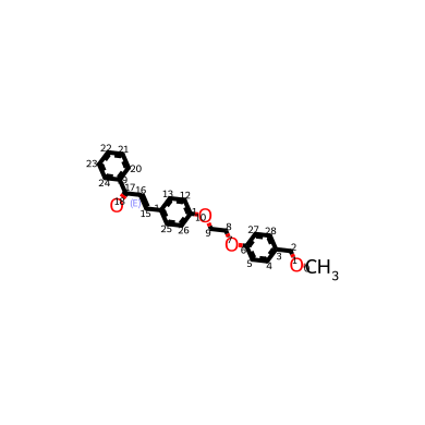 COCc1ccc(OCCOc2ccc(/C=C/C(=O)c3ccccc3)cc2)cc1